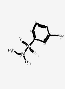 CN(C)S(=O)(=O)c1cccc(O)c1